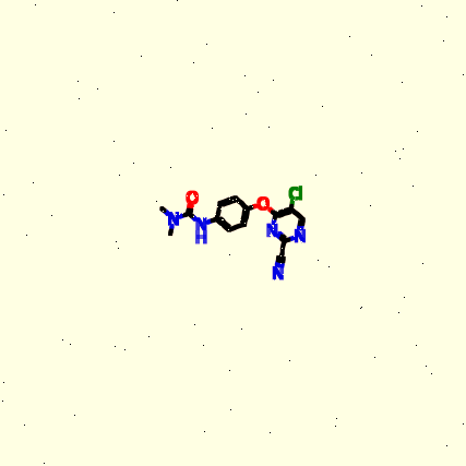 CN(C)C(=O)Nc1ccc(Oc2nc(C#N)ncc2Cl)cc1